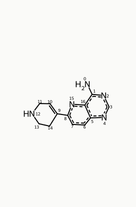 Nc1ncnc2ccc(C3=CCNCC3)nc12